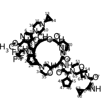 CO[C@@H](C)c1ncc(N2CCN(C3CC3)CC2)cc1-c1c2c3cc(ccc3n1CC(F)(F)F)N1CCO[C@@H](C[C@H](NC(=O)[C@H](C3CCCC3)N3CCOC4(CN(C(=O)[C@@H]5N[C@@H]5C5CC5)C4)C3)C(=O)N3CCC[C@H](N3)C(=O)OCC(C)(C)C2)C1